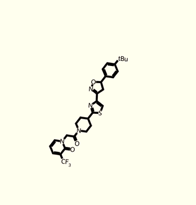 CC(C)(C)c1ccc(C2CC(c3csc(C4CCN(C(=O)Cn5cccc(C(F)(F)F)c5=O)CC4)n3)=NO2)cc1